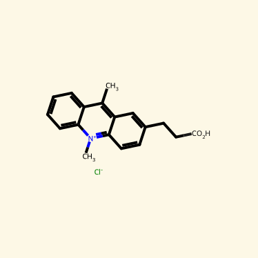 Cc1c2ccccc2[n+](C)c2ccc(CCC(=O)O)cc12.[Cl-]